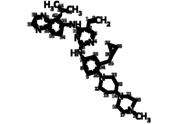 C=Cc1cnc(Nc2ccc(N3CCC(N4CCN(C)CC4)CC3)c(CC3CC3)c2)nc1Nc1ccc2nccnc2c1P(C)C